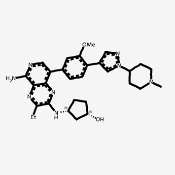 CCc1nc2c(N)ncc(-c3ccc(-c4cnn(C5CCN(C)CC5)c4)c(OC)c3)c2nc1N[C@@H]1CC[C@H](O)C1